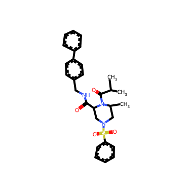 CC(C)C(=O)N1C(C)CN(S(=O)(=O)c2ccccc2)CC1C(=O)NCc1ccc(-c2ccccc2)cc1